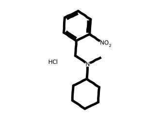 CN(Cc1ccccc1[N+](=O)[O-])C1CCCCC1.Cl